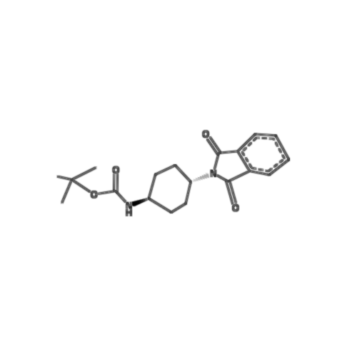 CC(C)(C)OC(=O)N[C@H]1CC[C@H](N2C(=O)c3ccccc3C2=O)CC1